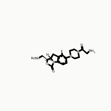 CC(=O)NC[C@@H]1OC(=O)N2c3ccc(N4CCN(C(=O)CN)CC4)c(F)c3C[C@@H]12